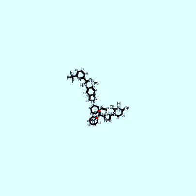 COc1cc2nn([C@H]3CC[C@H](CN4C5CC4CN(c4cccn6c(N7CCC(=O)NC7=O)cnc46)C5)CC3)cc2cc1NC(=O)c1cccc(C(F)(F)F)n1